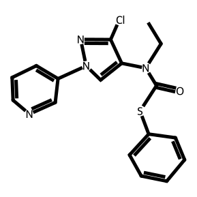 CCN(C(=O)Sc1ccccc1)c1cn(-c2cccnc2)nc1Cl